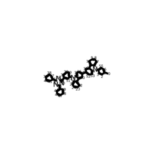 Cc1ccc(-n2c3ccccc3c3cc(-c4ccc5c(c4)c4ccccc4n5-c4cccc(-c5nc(-c6ccccc6)nc(-c6ccccc6)n5)c4)ccc32)cc1